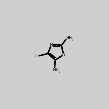 Nc1nc(Cl)c(N)o1